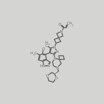 C=CC(=O)N1CC2(CC(n3nc(N4CCN(C[C@@H]5COCCO5)CC45CCC5)c(-c4c(Cl)c(C)cc5[nH]ncc45)c3C)C2)C1